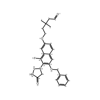 CC(C)(CC=O)CCOc1ccc2cc(OCc3ccccc3)c(N3CC(=O)NS3)c(F)c2c1